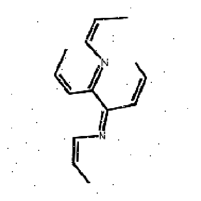 C\C=C/N=C(/C=C\C)C(\C=C/C)=N\C=C/C